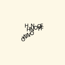 CC(=O)N1CCN(c2cccc(Nc3ccc(OC(F)(F)F)cc3N)c2)CC1